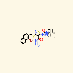 CN(C)C(=O)Nc1snc(SCc2ccc3ccccc3c2Br)c1C(N)=O